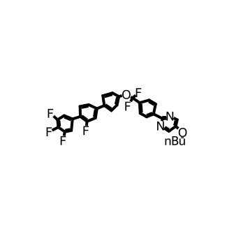 CCCCOc1cnc(-c2ccc(C(F)(F)Oc3ccc(-c4ccc(-c5cc(F)c(F)c(F)c5)c(F)c4)cc3)cc2)nc1